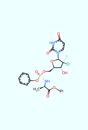 CC(C)OC(=O)[C@@H](C)N[P@](=O)(OC[C@H]1O[C@@H](n2ccc(=O)[nH]c2=O)[C@@](F)(Cl)[C@@H]1O)Oc1ccccc1